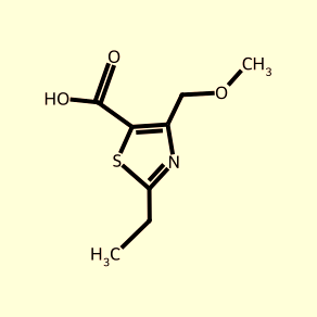 CCc1nc(COC)c(C(=O)O)s1